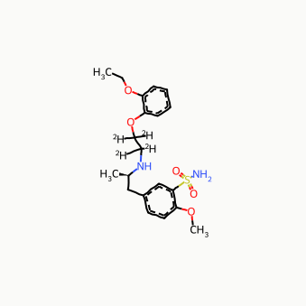 [2H]C([2H])(N[C@H](C)Cc1ccc(OC)c(S(N)(=O)=O)c1)C([2H])([2H])Oc1ccccc1OCC